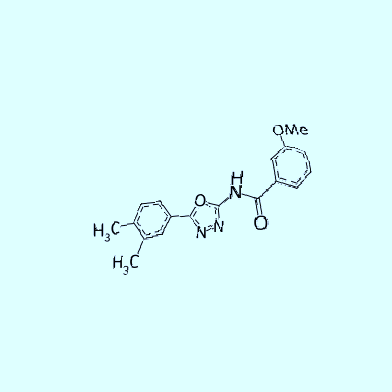 COc1cccc(C(=O)Nc2nnc(-c3ccc(C)c(C)c3)o2)c1